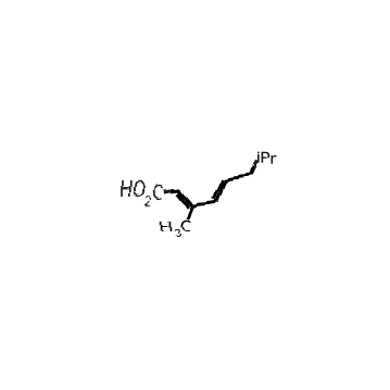 CC(C=CCC(C)C)=CC(=O)O